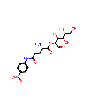 N[C@@H](CCC(=O)Nc1ccc([N+](=O)[O-])cc1)C(=O)O[C@H](C=O)[C@@H](O)[C@H](O)[C@H](O)CO